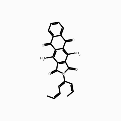 C\C=C/C=C(\C=C/C)n1c(=O)c2c(N)c3c(=O)c4ccccc4c(=O)c3c(N)c2c1=O